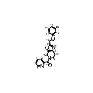 O=C(c1ccccn1)N1CCc2nc(COc3ccccc3)oc2C1